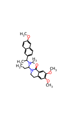 CCC(N1CCc2cc(OC)c(OC)cc2C1=O)N(C)C(C)c1ccc2cc(OC)ccc2c1